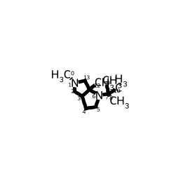 CN1CC2CCN(C(C)(C)C)C2(C)C1